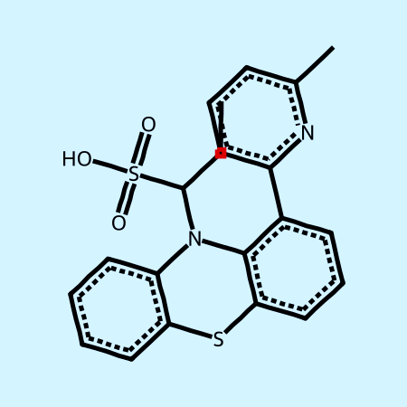 CCC(N1c2ccccc2Sc2cccc(-c3cccc(C)n3)c21)S(=O)(=O)O